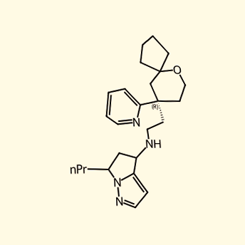 CCCC1CC(NCC[C@@]2(c3ccccn3)CCOC3(CCCC3)C2)c2ccnn21